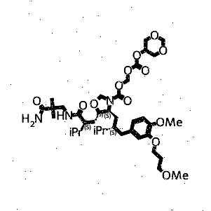 COCCCOc1cc(C[C@@H](C[C@H]2[C@H](C[C@H](C(=O)NCC(C)(C)C(N)=O)C(C)C)OCN2C(=O)OCOC(=O)OC2COCOC2)C(C)C)ccc1OC